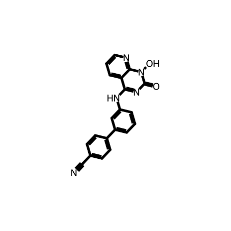 N#Cc1ccc(-c2cccc(Nc3nc(=O)n(O)c4ncccc34)c2)cc1